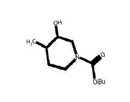 CC(C)COC(=O)N1CCC(C)C(O)C1